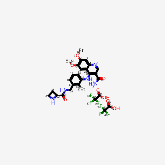 CCOc1cc2ncc(C(N)=O)c(Nc3cccc(CNC(=O)[C@@H]4CCN4)c3CC)c2cc1OCC.O=C(O)C(F)(F)F.O=C(O)C(F)(F)F